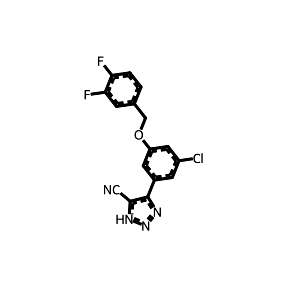 N#Cc1[nH]nnc1-c1cc(Cl)cc(OCc2ccc(F)c(F)c2)c1